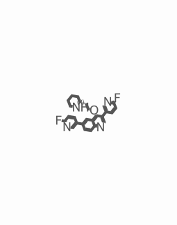 Fc1ccc(-c2ccc3ncc(-c4ccc(F)nc4)c(OCC[C@H]4CCCCN4)c3c2)cn1